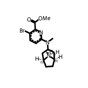 COC(=O)c1nc(N(C)C2C[C@H]3CC[C@@H](C2)N3C(=O)O)ccc1Br